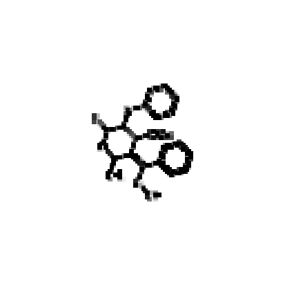 COC1/C(=C(/OO)c2ccccc2)C(C)OC(F)C1Sc1ccccc1